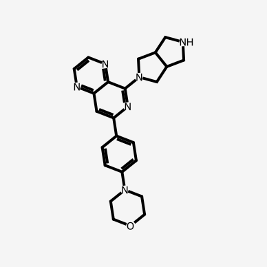 c1cnc2c(N3CC4CNCC4C3)nc(-c3ccc(N4CCOCC4)cc3)cc2n1